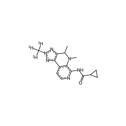 [2H]C([2H])([2H])n1nc2c(n1)C(C)N(C)c1c-2ccnc1NC(=O)C1CC1